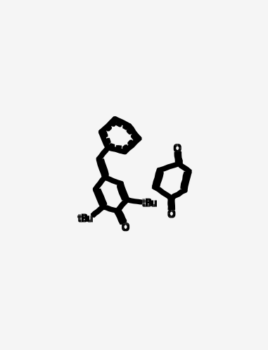 CC(C)(C)C1=CC(=Cc2ccccc2)C=C(C(C)(C)C)C1=O.O=C1C=CC(=O)C=C1